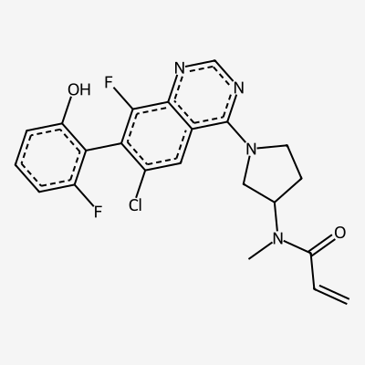 C=CC(=O)N(C)C1CCN(c2ncnc3c(F)c(-c4c(O)cccc4F)c(Cl)cc23)C1